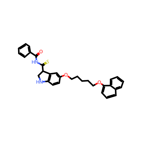 O=C(NC(=S)C1CNc2ccc(OCCCCCOc3cccc4ccccc34)cc21)c1ccccc1